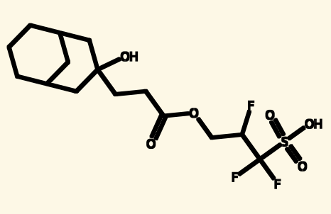 O=C(CCC1(O)CC2CCCC(C2)C1)OCC(F)C(F)(F)S(=O)(=O)O